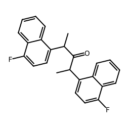 CC(C(=O)C(C)c1ccc(F)c2ccccc12)c1ccc(F)c2ccccc12